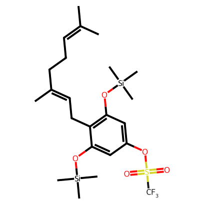 CC(C)=CCC/C(C)=C/Cc1c(O[Si](C)(C)C)cc(OS(=O)(=O)C(F)(F)F)cc1O[Si](C)(C)C